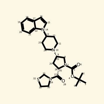 CC(C)(C)OC(=O)N1C[C@@H](N2CCC(n3ccc4ccccc43)CC2)C[C@H]1C(=O)N1CCSC1